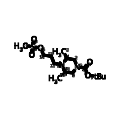 CC1CN(C(=O)OC(C)(C)C)C[C@@H](C)N1CCCOS(C)(=O)=O